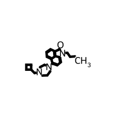 CCCCN1C(=O)c2cccc3c(N4CCCN(CC5CCC5)CC4)ccc1c23